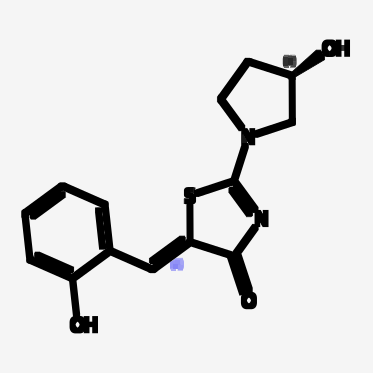 O=C1N=C(N2CC[C@@H](O)C2)S/C1=C\c1ccccc1O